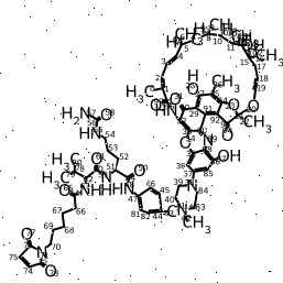 C/C1=C/C=C/[C@H](C)C[C@@H](C)C[C@@H](C)[C@H](O)[C@H](C)C/C=C/O[C@@]2(C)Oc3c(C)c(O)c4c(=O)c(c5oc6cc(N7CC[N+](C)(Cc8ccc(NC(=O)[C@H](CCCNC(N)=O)NC(=O)[C@@H](NC(=O)CCCCCN9C(=O)C=CC9=O)C(C)C)cc8)CC7)cc(O)c6nc-5c4c3C2=O)NC1=O